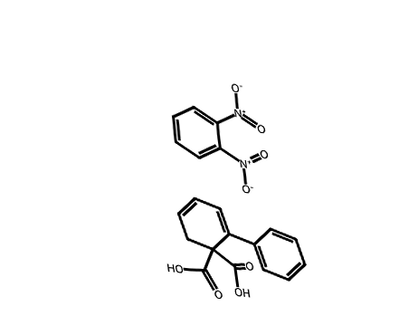 O=C(O)C1(C(=O)O)CC=CC=C1c1ccccc1.O=[N+]([O-])c1ccccc1[N+](=O)[O-]